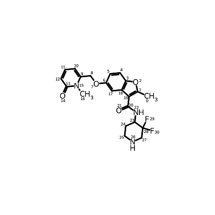 Cc1oc2ccc(OCc3cccc(=O)n3C)cc2c1C(=O)NC1CCNCC1(F)F